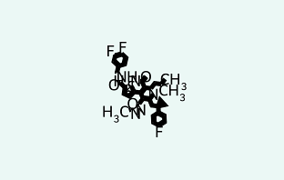 Cc1nnc(-c2c(CC3(c4ccc(F)cc4)CC3)nc(CC(C)C)c(C(N)=O)c2-c2ccc(C(=O)NCc3ccc(F)c(F)c3)s2)o1